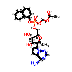 CC(C)(C)C(=O)OCOP(=O)(OC[C@H]1O[C@@](C)(c2ccc3c(N)ncnn23)[C@H](O)[C@@H]1O)Oc1cccc2ccccc12